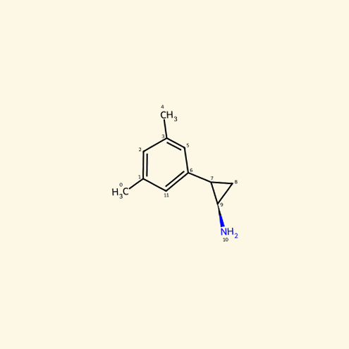 Cc1cc(C)cc(C2C[C@H]2N)c1